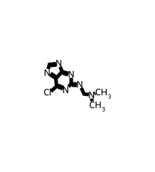 CN(C)CN=C1N=C(Cl)C2=NC=NC2=N1